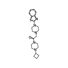 O=C(CN1CCN(c2nc3ccccc3s2)CC1)N1CCN(C2CCC2)CC1